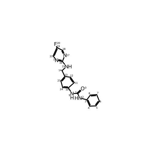 O=C(Nc1ccccc1)Nc1ccc(CNc2ncc(F)cn2)cc1